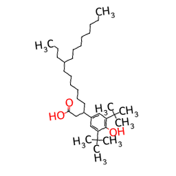 CCCCCCCCC(CCC)CCCCCCC(CC(=O)O)c1cc(C(C)(C)C)c(O)c(C(C)(C)C)c1